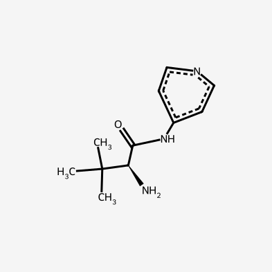 CC(C)(C)[C@H](N)C(=O)Nc1ccncc1